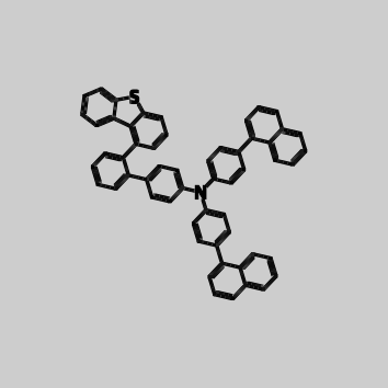 c1ccc(-c2cccc3sc4ccccc4c23)c(-c2ccc(N(c3ccc(-c4cccc5ccccc45)cc3)c3ccc(-c4cccc5ccccc45)cc3)cc2)c1